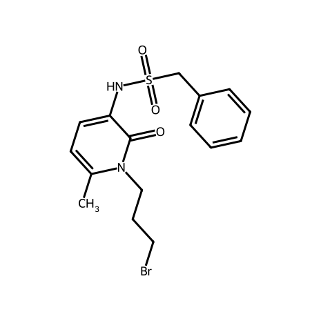 Cc1ccc(NS(=O)(=O)Cc2ccccc2)c(=O)n1CCCBr